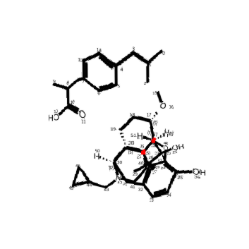 CC(C)Cc1ccc(C(C)C(=O)O)cc1.CO[C@@]12CC[C@@]3(C[C@@H]1[C@](C)(O)C(C)(C)C)[C@H]1Cc4ccc(O)c5c4[C@@]3(CCN1CC1CC1)[C@H]2O5